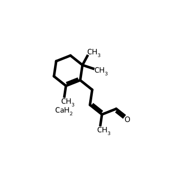 CC(C=O)=CCC1=C(C)CCCC1(C)C.[CaH2]